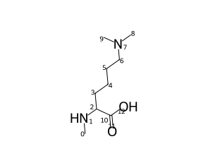 CNC(CCCCN(C)C)C(=O)O